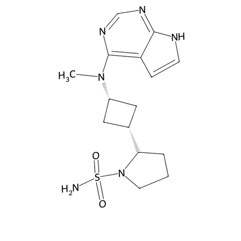 CN(c1ncnc2[nH]ccc12)[C@H]1C[C@@H](C2CCCN2S(N)(=O)=O)C1